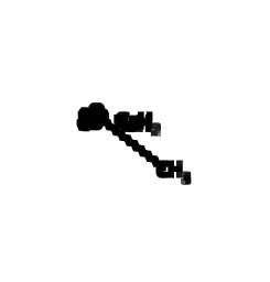 CCCCCCCCCCCCCCCCCCCOS(=O)(=O)c1cccc2ccccc12.[CaH2].[NaH]